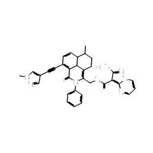 CC1CCC2=C([C@@H](C)NC(=O)c3c(N)nn4cccnc34)N(c3ccccc3)C(=O)C3=C(C#Cc4cnn(C)c4)C=CC1C23